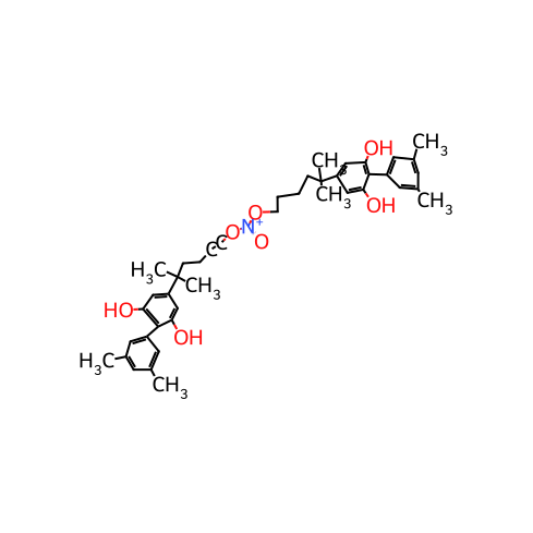 Cc1cc(C)cc(-c2c(O)cc(C(C)(C)CCCCO[N+](=O)OCCCCC(C)(C)c3cc(O)c(-c4cc(C)cc(C)c4)c(O)c3)cc2O)c1